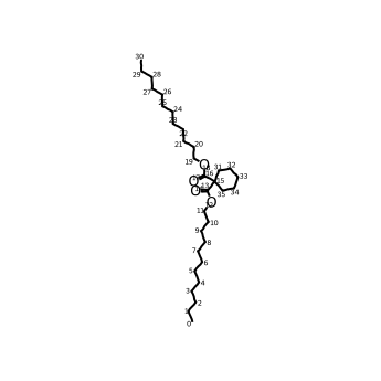 CCCCCCCCCCCCOC(=O)C1(C(=O)OCCCCCCCCCCCC)CCCCC1